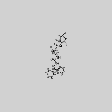 Cc1cc(C)c(NC(=O)c2sc(NC(=O)NCC(c3ccccc3)c3ccccc3)nc2C)c(C)c1